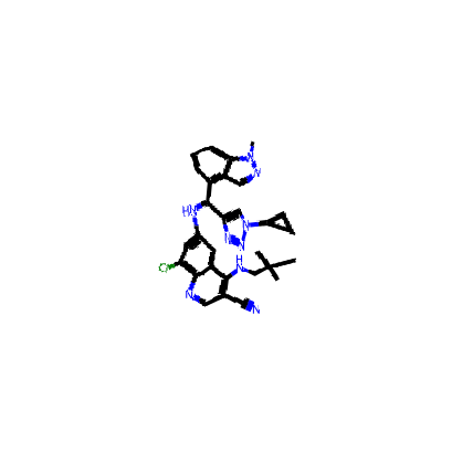 Cn1ncc2c(C(Nc3cc(Cl)c4ncc(C#N)c(NCC(C)(C)C)c4c3)c3cn(C4CC4)nn3)cccc21